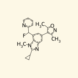 Cc1noc(C)c1-c1cc(C(F)c2ccccn2)c2c(c1)nc(C1CC1)n2C